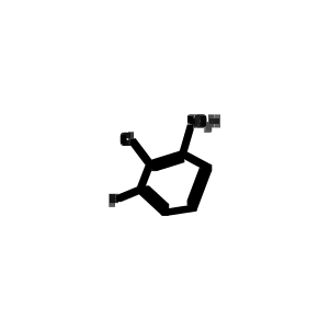 O=S(=O)(O)c1cccc(F)c1Cl